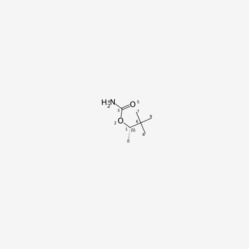 C[C@H](OC(N)=O)C(C)(C)C